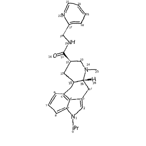 CC(C)n1cc2c3c(cccc31)C1C[C@@H](C(=O)NCc3ccccn3)CN(C)[C@@H]1C2